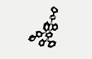 c1ccc(-c2ccc(N3c4cc(N(c5ccccc5)c5ccccc5)ccc4B4c5ccccc5N(c5cnc(-c6ccccc6)cn5)c5cccc3c54)cc2)cc1